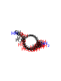 CNc1ccc(C(=O)CC(O)CCC(C)C2OC(=O)CC(O)CC(=O)CC(O)CC(O)CC(O)CC(O)CC3(O)CC(O)C(C(=O)O)C(CC(O[C@H]4O[C@@H](C)[C@H](O)[C@@H](N)[C@H]4O)/C=C/C=C/C=C/C=C/C=C/C=C/C=C/C2C)O3)cc1